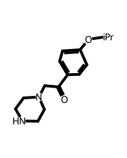 CC(C)Oc1ccc(C(=O)CN2CCNCC2)cc1